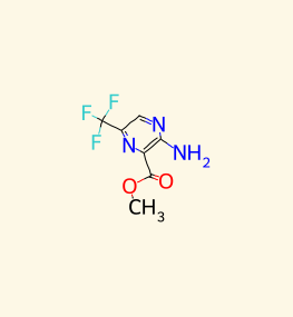 COC(=O)c1nc(C(F)(F)F)cnc1N